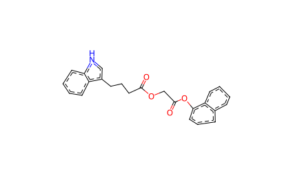 O=C(CCCc1c[nH]c2ccccc12)OCC(=O)Oc1cccc2ccccc12